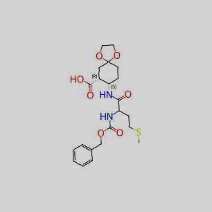 CSCCC(NC(=O)OCc1ccccc1)C(=O)N[C@H]1CCC2(C[C@H]1C(=O)O)OCCO2